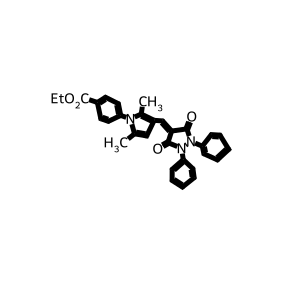 CCOC(=O)c1ccc(-n2c(C)cc(C=C3C(=O)N(c4ccccc4)N(c4ccccc4)C3=O)c2C)cc1